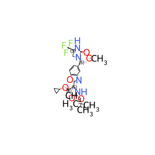 COC[C@H](c1ccc2oc([C@@H](NC(=O)OC(C)(C)C)[C@@H](C)OC3CC3)nc2c1)N1C[C@@H](C(F)(F)F)NC1=O